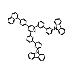 c1cc(-c2cccc(-n3c4ccccc4c4ccccc43)c2)cc(-c2cc(-c3ccc(-c4cccc5ccccc45)cc3)cc(-c3cccc(-c4cccc(-n5c6ccccc6c6ccccc65)c4)c3)n2)c1